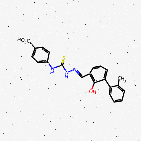 Cc1ccccc1-c1cccc(C=NNC(=S)Nc2ccc(C(=O)O)cc2)c1O